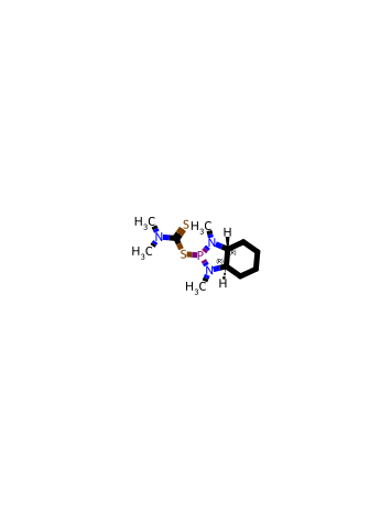 CN(C)C(=S)SP1N(C)[C@@H]2CCCC[C@H]2N1C